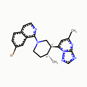 Cc1cc([C@@H]2CN(c3nccc4ccc(Br)cc34)CC[C@H]2C)n2ncnc2n1